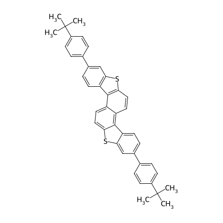 CC(C)(C)c1ccc(-c2ccc3c(c2)sc2ccc4c(ccc5sc6cc(-c7ccc(C(C)(C)C)cc7)ccc6c54)c23)cc1